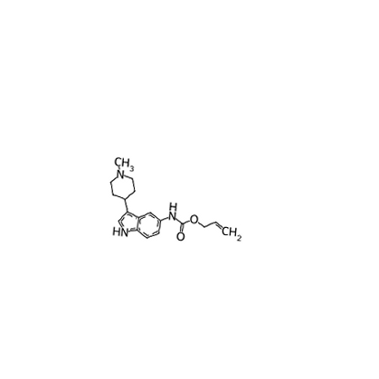 C=CCOC(=O)Nc1ccc2[nH]cc(C3CCN(C)CC3)c2c1